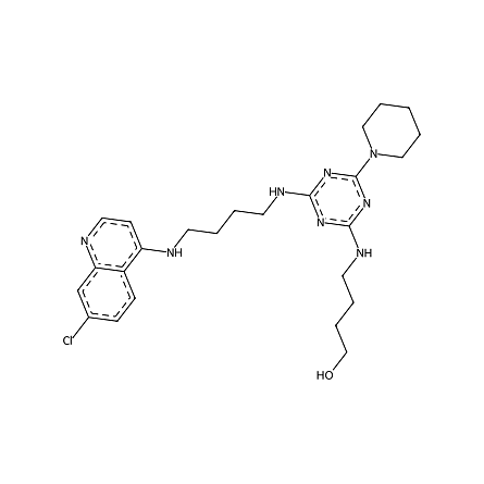 OCCCCNc1nc(NCCCCNc2ccnc3cc(Cl)ccc23)nc(N2CCCCC2)n1